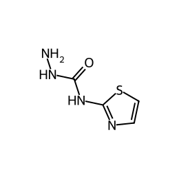 NNC(=O)Nc1nccs1